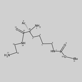 CC(=O)[C@](N)(CCCCNC(=O)OC(C)(C)C)C(=O)NCCN